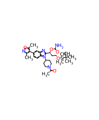 CC(=O)N1CCC(n2c([C@H](CCO[Si](C)(C)C(C)(C)C)OC(N)=O)nc3cc(-c4c(C)noc4C)ccc32)CC1